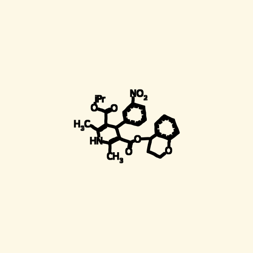 CC1=C(C(=O)OC(C)C)C(c2cccc([N+](=O)[O-])c2)C(C(=O)OC2CCOc3ccccc32)=C(C)N1